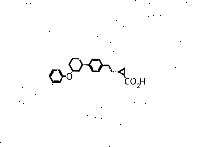 O=C(O)[C@@H]1C[C@H]1CCc1ccc([C@@H]2CCC[C@@H](Oc3ccccc3)C2)cc1